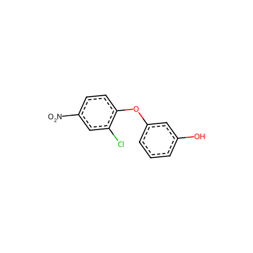 O=[N+]([O-])c1ccc(Oc2cccc(O)c2)c(Cl)c1